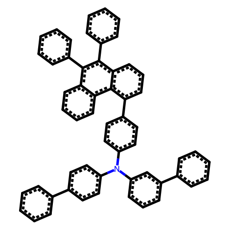 c1ccc(-c2ccc(N(c3ccc(-c4cccc5c(-c6ccccc6)c(-c6ccccc6)c6ccccc6c45)cc3)c3cccc(-c4ccccc4)c3)cc2)cc1